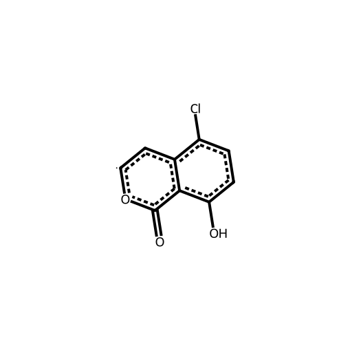 O=c1o[c]cc2c(Cl)ccc(O)c12